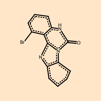 O=c1[nH]c2cccc(Br)c2c2nc3ccccc3n12